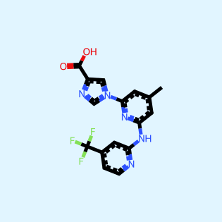 Cc1cc(Nc2cc(C(F)(F)F)ccn2)nc(-n2cnc(C(=O)O)c2)c1